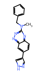 CN(Cc1ccccc1)c1nnc2cc(-c3cn[nH]c3)ccc2n1